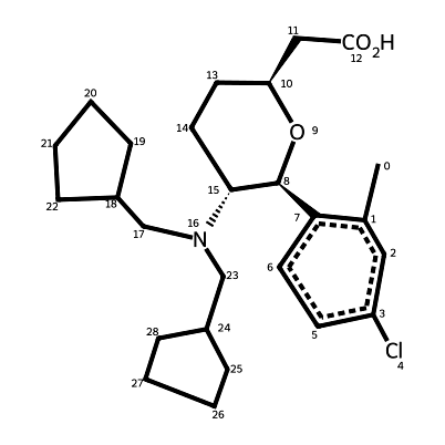 Cc1cc(Cl)ccc1[C@@H]1O[C@H](CC(=O)O)CC[C@H]1N(CC1CCCC1)CC1CCCC1